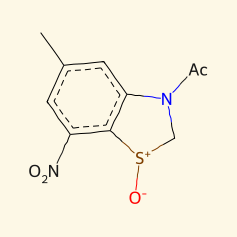 CC(=O)N1C[S+]([O-])c2c1cc(C)cc2[N+](=O)[O-]